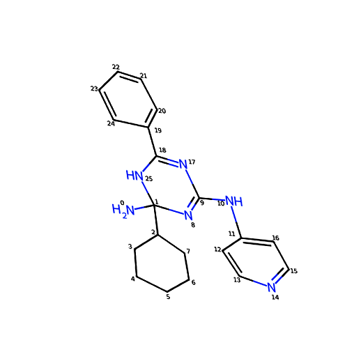 NC1(C2CCCCC2)N=C(Nc2ccncc2)N=C(c2ccccc2)N1